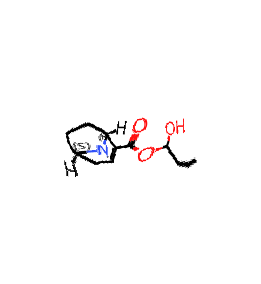 CCC(O)OC(=O)C1=CC[C@@H]2CC[C@H]1N2C